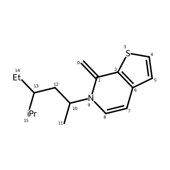 C=C1c2sccc2C=CN1C(C)CC(CC)C(C)C